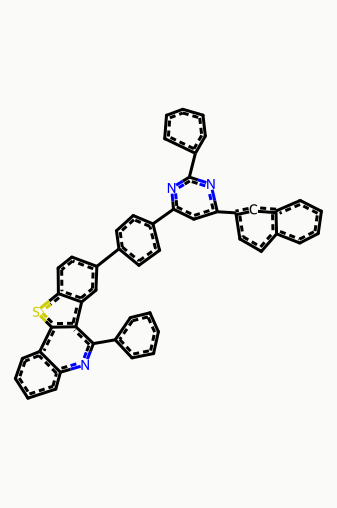 c1ccc(-c2nc(-c3ccc(-c4ccc5sc6c7ccccc7nc(-c7ccccc7)c6c5c4)cc3)cc(-c3ccc4ccccc4c3)n2)cc1